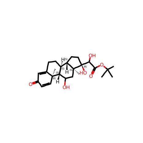 CC(C)(C)OC(=O)C(O)[C@@]1(O)CC[C@H]2[C@@H]3CCC4=CC(=O)C=C[C@]4(C)[C@H]3C(O)C[C@@]21C